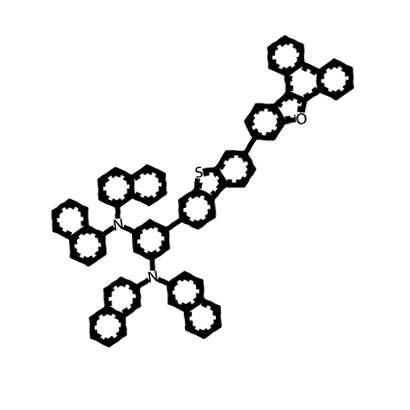 c1ccc2cc(N(c3cc(-c4ccc5c(c4)sc4cc(-c6ccc7c(c6)oc6c8ccccc8c8ccccc8c76)ccc45)cc(N(c4cccc5ccccc45)c4cccc5ccccc45)c3)c3ccc4ccccc4c3)ccc2c1